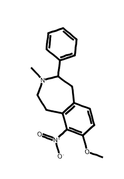 COc1ccc2c(c1[N+](=O)[O-])CCN(C)C(c1ccccc1)C2